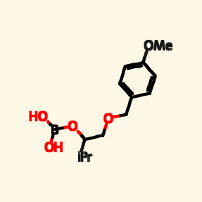 COc1ccc(COCC(OB(O)O)C(C)C)cc1